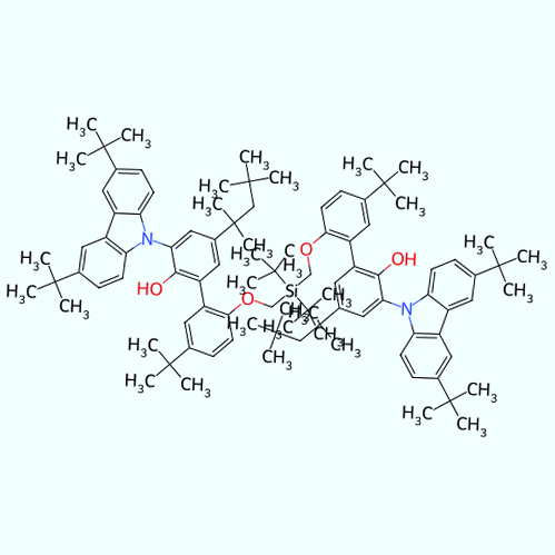 CC(C)(C)CC(C)(C)c1cc(-c2cc(C(C)(C)C)ccc2OC[Si](COc2ccc(C(C)(C)C)cc2-c2cc(C(C)(C)CC(C)(C)C)cc(-n3c4ccc(C(C)(C)C)cc4c4cc(C(C)(C)C)ccc43)c2O)(C(C)(C)C)C(C)(C)C)c(O)c(-n2c3ccc(C(C)(C)C)cc3c3cc(C(C)(C)C)ccc32)c1